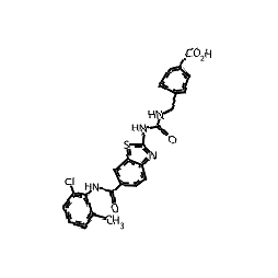 Cc1cccc(Cl)c1NC(=O)c1ccc2nc(NC(=O)NCc3ccc(C(=O)O)cc3)sc2c1